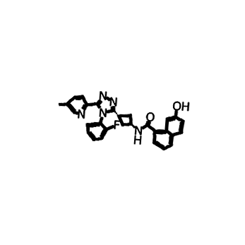 Cc1ccc(-c2nnc([C@H]3C[C@H](NC(=O)c4cccc5ccc(O)cc45)C3)n2-c2ccccc2F)nc1